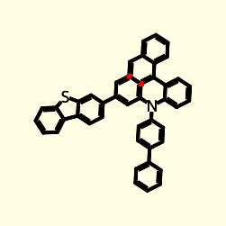 c1ccc(-c2ccc(N(c3cccc(-c4ccc5c(c4)sc4ccccc45)c3)c3ccccc3-c3cccc4ccccc34)cc2)cc1